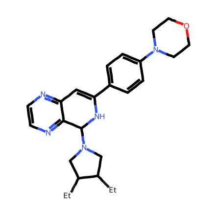 CCC1CN(C2NC(c3ccc(N4CCOCC4)cc3)=Cc3nccnc32)CC1CC